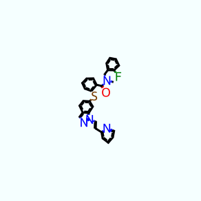 CN(Cc1ccccc1F)C(=O)c1ccccc1Sc1ccc2cnn(C=Cc3ccccn3)c2c1